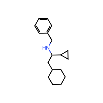 c1ccc(CNC(CC2CCCCC2)C2CC2)cc1